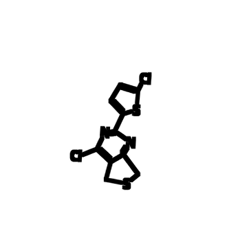 Clc1ccc(-c2nc(Cl)c3c(n2)CSC3)s1